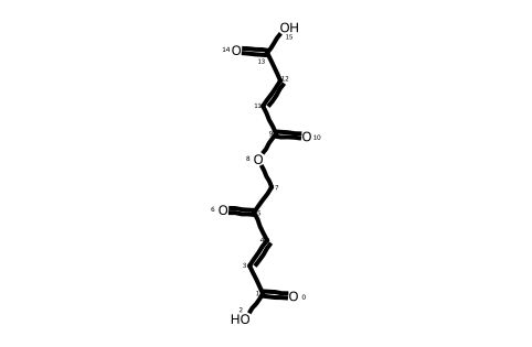 O=C(O)/C=C/C(=O)COC(=O)/C=C/C(=O)O